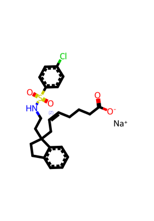 O=C([O-])CCC/C=C\CC1(CCNS(=O)(=O)c2ccc(Cl)cc2)CCc2ccccc21.[Na+]